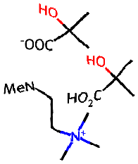 CC(C)(O)C(=O)O.CC(C)(O)C(=O)[O-].CNCC[N+](C)(C)C